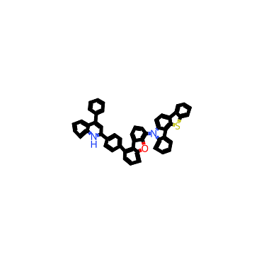 C1=C(c2ccccc2)c2ccccc2NC1c1ccc(-c2cccc3oc4c(-n5c6ccccc6c6c7sc8ccccc8c7ccc65)cccc4c23)cc1